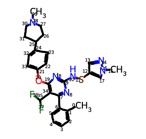 Cc1ccccc1-c1nc(NSc2cnn(C)c2)nc(Oc2ccc(C3CCN(C)CC3)cc2)c1C(F)F